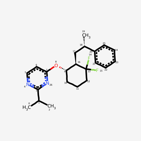 CC(C)c1nccc(O[C@H]2CCCC(F)(F)[C@@H]2C[C@H](C)c2ccccc2)n1